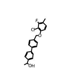 Cc1ccc(OCc2ccc(-c3ccc(C(C)O)cc3)cc2)c(Cl)c1F